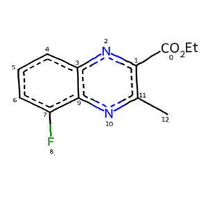 CCOC(=O)c1nc2cccc(F)c2nc1C